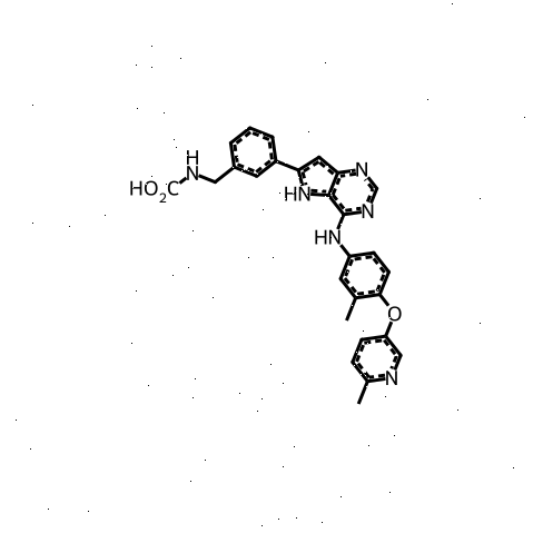 Cc1ccc(Oc2ccc(Nc3ncnc4cc(-c5cccc(CNC(=O)O)c5)[nH]c34)cc2C)cn1